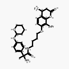 CCCc1c(OCCCCNC(=O)C(C)(N)c2ccc(OC3CCCCO3)cc2)ccc2c1OC(=O)CC2C(F)(F)F